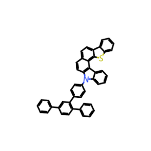 c1ccc(-c2ccc(-c3ccccc3)c(-c3ccc(-n4c5ccccc5c5c6c(ccc7c8ccccc8sc76)ccc54)cc3)c2)cc1